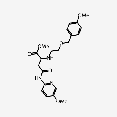 COC(=O)C(CC(=O)Nc1ccc(OC)cn1)NCCOCc1ccc(OC)cc1